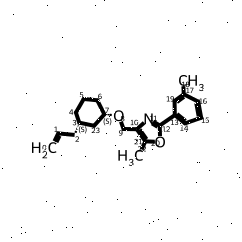 C=CC[C@@H]1CCC[C@H](OCc2nc(-c3cccc(C)c3)oc2C)C1